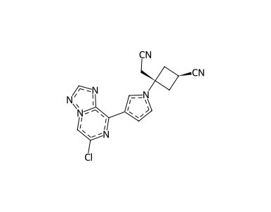 N#CC[C@]1(n2ccc(-c3nc(Cl)cn4ncnc34)c2)C[C@H](C#N)C1